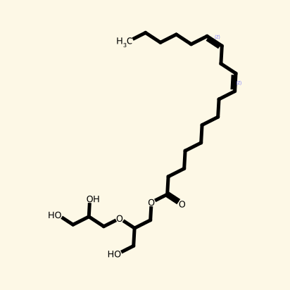 CCCCC/C=C\C/C=C\CCCCCCCC(=O)OCC(CO)OCC(O)CO